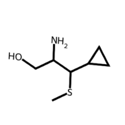 CSC(C(N)CO)C1CC1